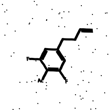 C=CCCc1cc(F)c(C(C)=O)c(F)c1